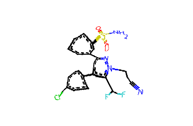 N#CCn1nc(-c2ccccc2S(N)(=O)=O)c(-c2ccc(Cl)cc2)c1C(F)F